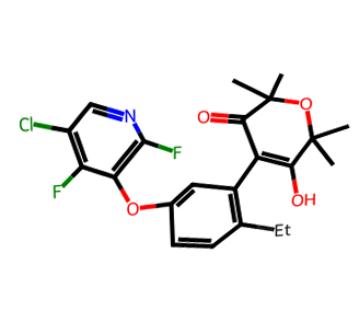 CCc1ccc(Oc2c(F)ncc(Cl)c2F)cc1C1=C(O)C(C)(C)OC(C)(C)C1=O